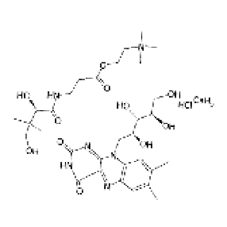 CC(C)(CO)[C@@H](O)C(=O)NCCC(=O)OCC[N+](C)(C)C.Cc1cc2nc3c(=O)[nH]c(=O)nc-3n(C[C@H](O)[C@H](O)[C@H](O)CO)c2cc1C.Cl.[CaH2]